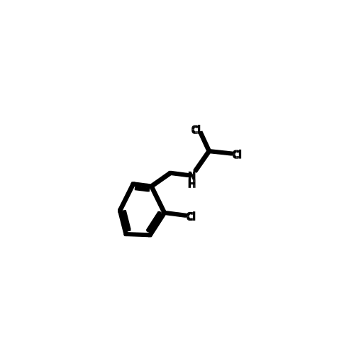 Clc1ccccc1CNC(Cl)Cl